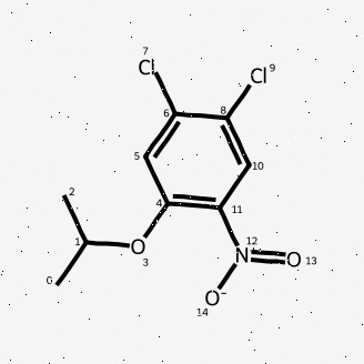 CC(C)Oc1cc(Cl)c(Cl)cc1[N+](=O)[O-]